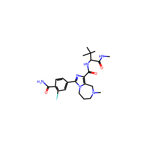 CNC(=O)C(NC(=O)c1nc(-c2ccc(C(N)=O)c(F)c2)n2c1CN(C)CCC2)C(C)(C)C